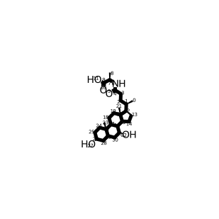 C[C@H](CCC(=O)N[C@H](C)C(=O)O)[C@H]1CCC2C3C(CC[C@@]21C)[C@@]1(C)CC[C@@H](O)CC1C[C@H]3O